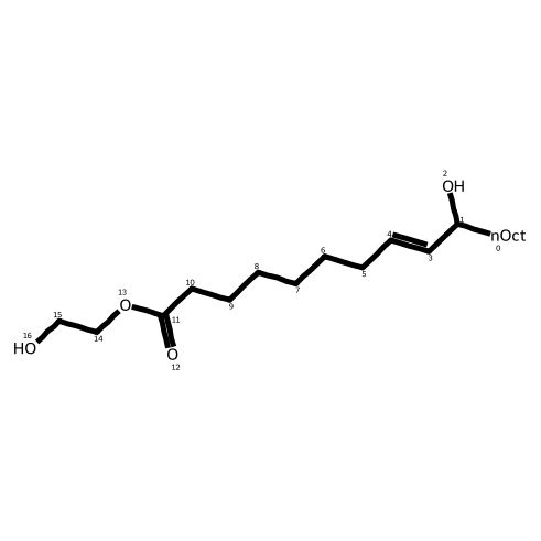 CCCCCCCCC(O)/C=C/CCCCCCC(=O)OCCO